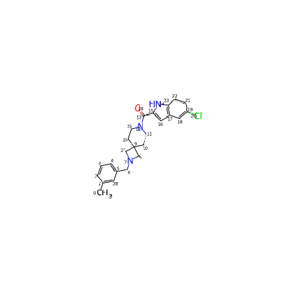 Cc1cccc(CN2CC3(CCN(C(=O)c4cc5cc(Cl)ccc5[nH]4)CC3)C2)c1